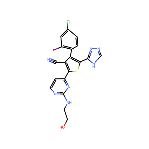 N#Cc1c(-c2ccnc(NCCO)n2)sc(-c2nnc[nH]2)c1-c1ccc(Cl)cc1I